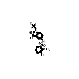 Cc1c(Cl)cccc1S(=O)(=O)Nc1ccc2c(c1)c(=O)[nH]n2CC(F)(F)F